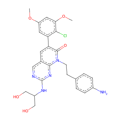 COc1cc(OC)c(Cl)c(-c2cc3cnc(NC(CO)CO)nc3n(CCc3ccc(N)cc3)c2=O)c1